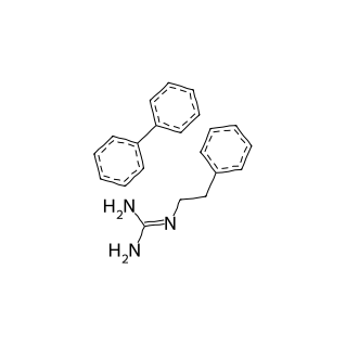 NC(N)=NCCc1ccccc1.c1ccc(-c2ccccc2)cc1